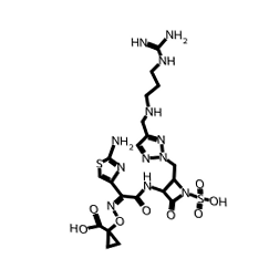 N=C(N)NCCCNCc1cnn(CC2C(NC(=O)/C(=N\OC3(C(=O)O)CC3)c3csc(N)n3)C(=O)N2S(=O)(=O)O)n1